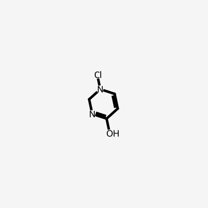 OC1=NCN(Cl)C=C1